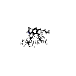 CC(C)(C)OC(=O)Oc1c(/C=C\Br)ccc(COCCF)c1C(=O)OC(C)(C)C